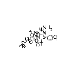 COc1ccc(Sc2nc(N)nc3c2ncn3CC2(OCP(=O)(OCOC(=O)C(C)(C)C)OCOC(=O)C(C)(C)C)CC2)cc1